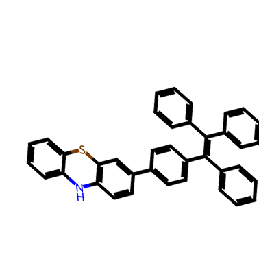 c1ccc(C(=C(c2ccccc2)c2ccc(-c3ccc4c(c3)Sc3ccccc3N4)cc2)c2ccccc2)cc1